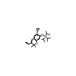 C=CC1=Cc2cc(C3CC3)c(O[Si](C(C)C)(C(C)C)C(C)C)cc2OC1(C)C